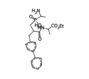 CCOC(=O)C(C)NC(=O)C(Cc1ccc(-c2ccccc2)cc1)CP(=O)(O)C(C)N